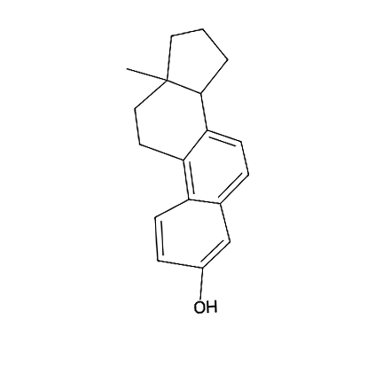 CC12CCCC1c1ccc3cc(O)ccc3c1CC2